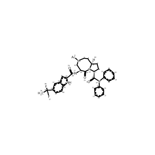 CC(=O)N1CC[C@H]2CC[C@@H](C(=O)N(c3ccccc3)c3ccccc3)N2C(=O)[C@@H](NC(=O)c2cc3cc(C(C)(F)F)ccc3[nH]2)C1